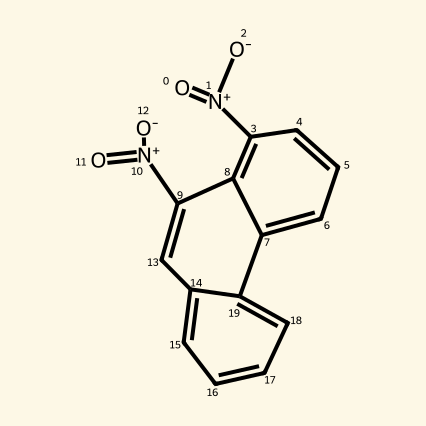 O=[N+]([O-])c1cccc2c1c([N+](=O)[O-])cc1ccccc12